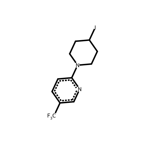 FC(F)(F)c1ccc(N2CCC(I)CC2)nc1